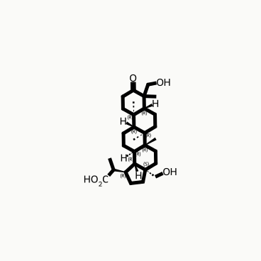 CC(C(=O)O)[C@@H]1CC[C@]2(CO)CC[C@]3(C)[C@H](CC[C@@H]4[C@@]5(C)CCC(=O)C(C)(CO)[C@@H]5CC[C@]43C)[C@@H]12